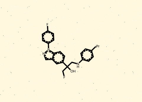 CC(C)c1ccc(NCC(O)(CF)c2ccc3c(cnn3-c3ccc(F)cc3)c2)cc1